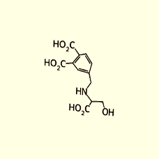 O=C(O)c1ccc(CNC(CO)C(=O)O)cc1C(=O)O